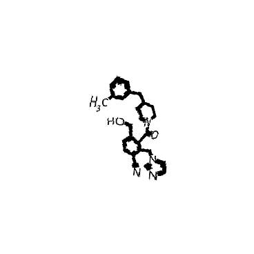 Cc1cccc(CC2CCN(C(=O)c3c(CO)ccc(C#N)c3Cn3ccnc3)CC2)c1